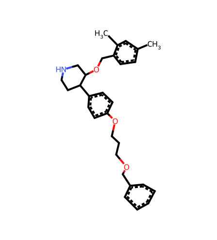 Cc1ccc(COC2CNCCC2c2ccc(OCCCOCc3ccccc3)cc2)c(C)c1